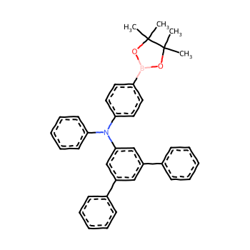 CC1(C)OB(c2ccc(N(c3ccccc3)c3cc(-c4ccccc4)cc(-c4ccccc4)c3)cc2)OC1(C)C